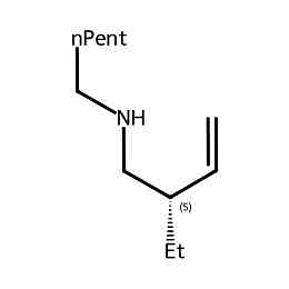 C=C[C@H](CC)CNCCCCCC